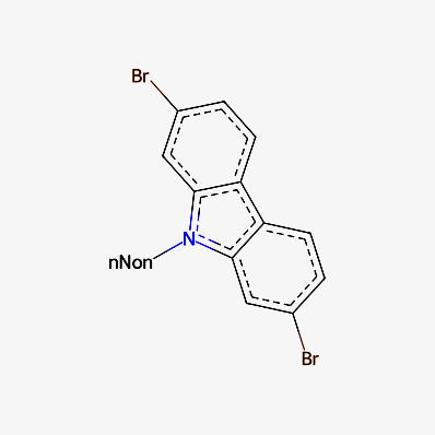 CCCCCCCCCn1c2cc(Br)ccc2c2ccc(Br)cc21